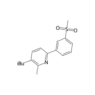 CCC(C)c1ccc(-c2cccc(S(C)(=O)=O)c2)nc1C